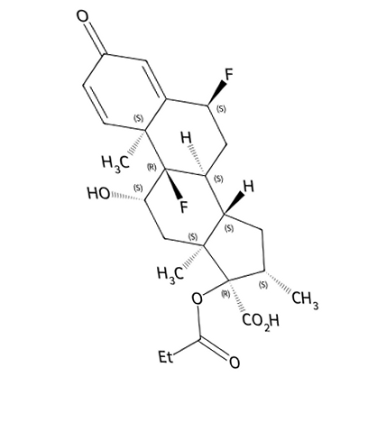 CCC(=O)O[C@]1(C(=O)O)[C@@H](C)C[C@H]2[C@@H]3C[C@H](F)C4=CC(=O)C=C[C@]4(C)[C@@]3(F)[C@@H](O)C[C@@]21C